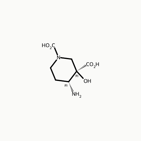 N[C@@H]1CCN(C(=O)O)C[C@]1(O)C(=O)O